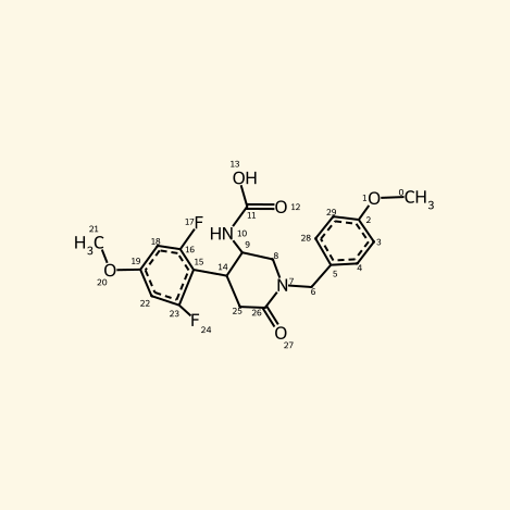 COc1ccc(CN2CC(NC(=O)O)C(c3c(F)cc(OC)cc3F)CC2=O)cc1